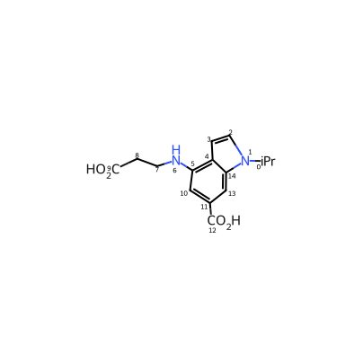 CC(C)n1ccc2c(NCCC(=O)O)cc(C(=O)O)cc21